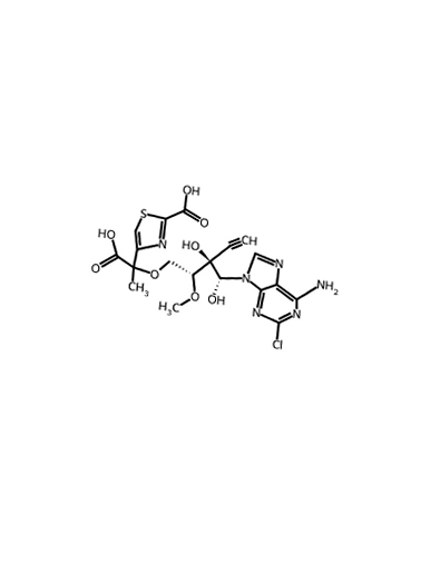 C#C[C@@](O)([C@@H](COC(C)(C(=O)O)c1csc(C(=O)O)n1)OC)[C@@H](O)n1cnc2c(N)nc(Cl)nc21